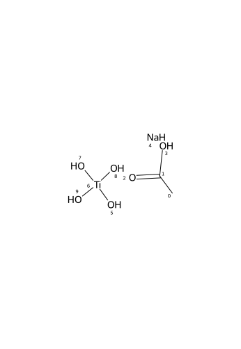 CC(=O)O.[NaH].[OH][Ti]([OH])([OH])[OH]